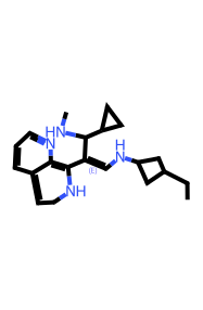 CCC1CC(N/C=C(/C2=c3ncccc3=CCN2)C(NC)C2CC2)C1